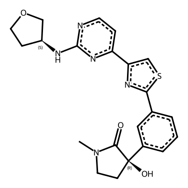 CN1CC[C@@](O)(c2cccc(-c3nc(-c4ccnc(N[C@H]5CCOC5)n4)cs3)c2)C1=O